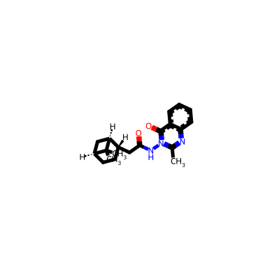 Cc1nc2ccccc2c(=O)n1NC(=O)C[C@@H]1CC[C@H]2C[C@@H]1C2(C)C